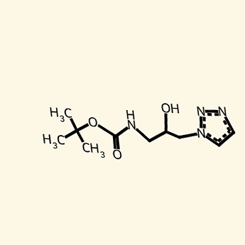 CC(C)(C)OC(=O)NCC(O)Cn1ccnn1